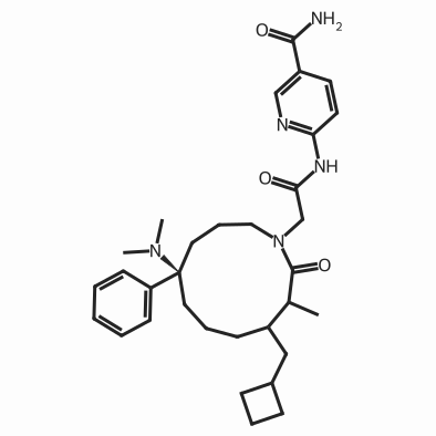 CC1C(=O)N(CC(=O)Nc2ccc(C(N)=O)cn2)CCC[C@](c2ccccc2)(N(C)C)CCCC1CC1CCC1